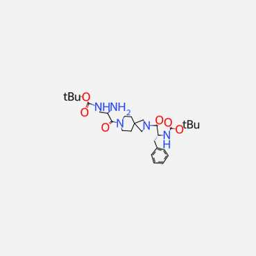 CC(C)(C)OC(=O)NC[C@@H](N)C(=O)N1CCC2(CC1)CN(C(=O)[C@@H](Cc1ccccc1)NC(=O)OC(C)(C)C)C2